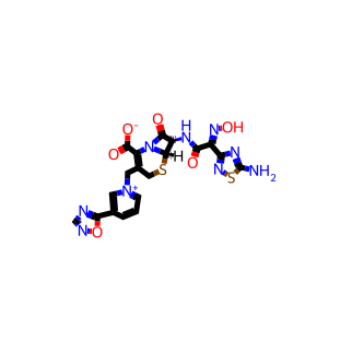 Nc1nc(C(=NO)C(=O)N[C@@H]2C(=O)N3C(C(=O)[O-])=C(C[n+]4cccc(-c5ncno5)c4)CS[C@@H]23)ns1